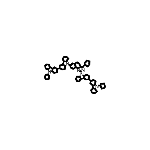 c1ccc(-c2nc(-n3c4ccccc4c4cc(-c5ccc6c(c5)c5ccccc5n6-c5ccccc5)ccc43)nc3c2ccc2cc(-n4c5ccccc5c5cc(-c6ccc7c(c6)c6ccccc6n7-c6ccccc6)ccc54)ccc23)cc1